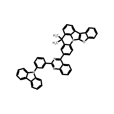 CC1(C)c2cc(-c3nc(-c4cccc(-n5c6ccccc6c6ccccc65)c4)nc4ccccc34)ccc2-n2c3oc4ccccc4c3c3cccc1c32